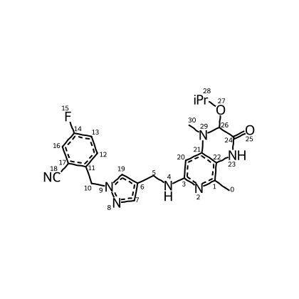 Cc1nc(NCc2cnn(Cc3ccc(F)cc3C#N)c2)cc2c1NC(=O)C(OC(C)C)N2C